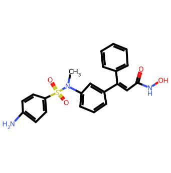 CN(c1cccc(C(=CC(=O)NO)c2ccccc2)c1)S(=O)(=O)c1ccc(N)cc1